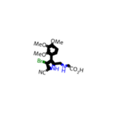 COc1ccc(-c2c(CNCC(=O)O)[nH]c(C#N)c2Br)c(OC)c1OC